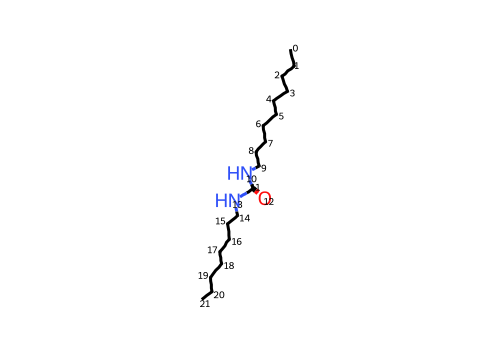 CCCCCCCCCCNC(=O)NCCCCCCCC